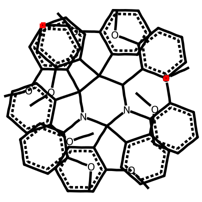 COc1ccccc1C1N(c2ccccc2OC)C(c2ccccc2OC)(c2ccccc2OC)N(c2ccccc2OC)C(c2ccccc2OC)(c2ccccc2OC)C1(c1ccccc1OC)c1ccccc1OC